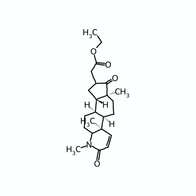 CCOC(=O)CC1C[C@H]2[C@@H]3CCC4N(C)C(=O)C=C[C@]4(C)[C@@H]3CC[C@]2(C)C1=O